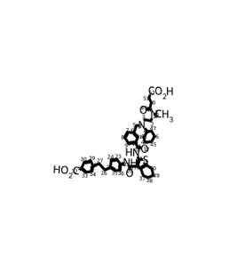 CN(CCN(Cc1cccc(C(=O)Nc2sc3c(c2C(=O)Nc2ccc(CCc4ccc(C(=O)O)cc4)cc2)CCCC3)c1)C1CCCCC1)C(=O)CCC(=O)O